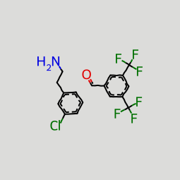 NCCc1cccc(Cl)c1.O=Cc1cc(C(F)(F)F)cc(C(F)(F)F)c1